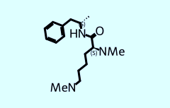 CNCCCC[C@H](NC)C(=O)N[C@@H](C)Cc1ccccc1